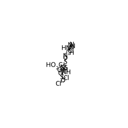 O=C(CCC[n+]1ccc(SCC2=C(C(=O)O)N3C(=O)[C@H](NC(=O)CSc4cc(Cl)ccc4Cl)[C@H]3SC2)cc1)Nc1nnn[nH]1